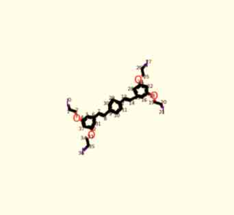 ICCOc1cc(C=Cc2ccc(C=Cc3cc(OCCI)cc(OCCI)c3)cc2)cc(OCCI)c1